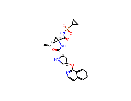 C=C[C@@H]1C[C@]1(NC(=O)[C@@H]1C[C@@H](Oc2nccc3ccccc23)CN1)C(=O)NS(=O)(=O)C1CC1